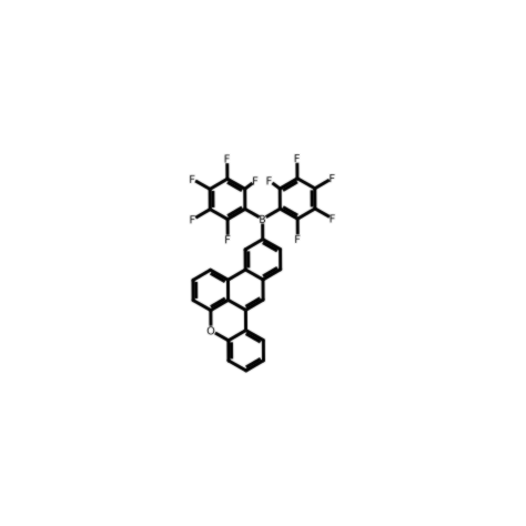 Fc1c(F)c(F)c(B(c2ccc3cc4c5c(cccc5c3c2)Oc2ccccc2-4)c2c(F)c(F)c(F)c(F)c2F)c(F)c1F